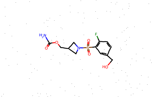 NC(=O)OCC1CN(S(=O)(=O)c2cc(CO)ccc2F)C1